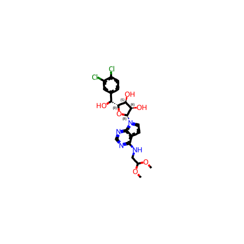 COC(CNc1ncnc2c1ccn2[C@@H]1O[C@H](C(O)c2ccc(Cl)c(Cl)c2)[C@@H](O)[C@H]1O)OC